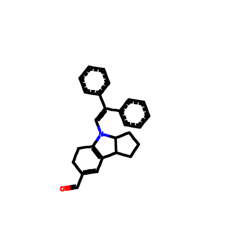 O=CC1=CC2=C(CC1)N(C=C(c1ccccc1)c1ccccc1)C1CCCC21